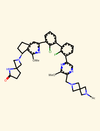 COc1nc(-c2cccc(-c3cccc(-c4cc5c(c(OC)n4)[C@@H](N4CC6(CCC(=O)N6)C4)CC5)c3Cl)c2F)cnc1CN1CC2(C1)CN(C(C)=O)C2